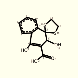 O=C(O)C1=C(O)c2ccccc2C2(SCCS2)C1O